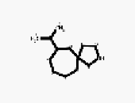 CC(C)C1CCCCC2(CCNC2)C1